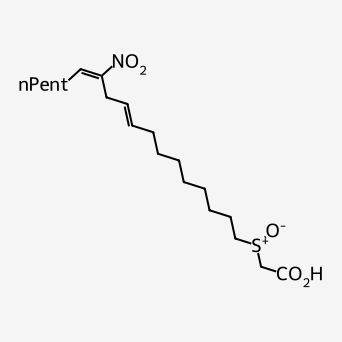 CCCCC/C=C(\C/C=C/CCCCCCCC[S+]([O-])CC(=O)O)[N+](=O)[O-]